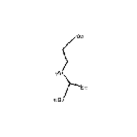 CCCCC(CC)NCCC(C)CC